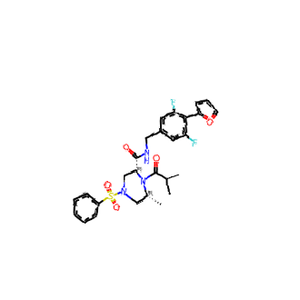 CC(C)C(=O)N1[C@H](C)CN(S(=O)(=O)c2ccccc2)C[C@@H]1C(=O)NCc1cc(F)c(-c2ccco2)c(F)c1